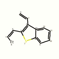 C=Cc1c(/C=C\CC)sc2ccccc12